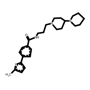 Cc1ccc(-c2ccc(C(=O)NCCCN3CCC(N4CCCCC4)CC3)cc2)s1